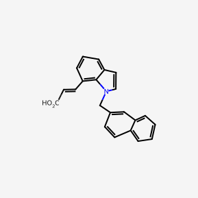 O=C(O)C=Cc1cccc2ccn(Cc3ccc4ccccc4c3)c12